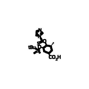 C[C@@H]1C[C@H](C(=O)O)C[C@H](O[Si](C)(C)C(C)(C)C)[C@H]1OC(=S)n1ccnc1